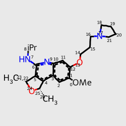 COc1cc2c3c(c(NC(C)C)nc2cc1OCCCN1CCCC1)[C@@H](C)O[C@H]3C